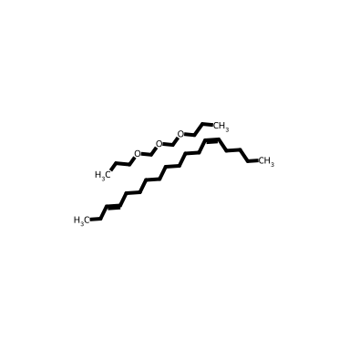 CC/C=C/CCCCCCCC/C=C\CCCC.CCCOCOCOCCC